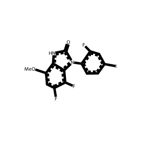 COc1cc(F)c(F)c2c1[nH]c(=O)n2-c1ccc(I)cc1F